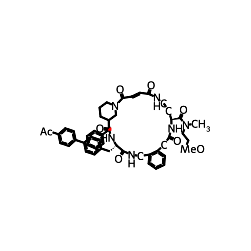 COCCN(C)C(=O)[C@@H]1CCNC(=O)/C=C/C(=O)N2CCC[C@](Cc3ccccc3)(C2)C(=O)N[C@@H](Cc2ccc(-c3ccc(C(C)=O)cc3)cc2)C(=O)NCc2ccccc2CC(=O)N1